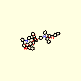 c1ccc(-c2ccc(N(c3ccccc3-c3ccc4oc5cc6cccc(-c7ccc8c(c7)cc(-c7ccc(N(c9ccc%10ccccc%10c9)c9ccccc9-c9ccc%10oc%11cc%12ccccc%12cc%11c%10c9)cc7)c7ccccc78)c6cc5c4c3)c3cccc4ccccc34)cc2-c2ccccc2)cc1